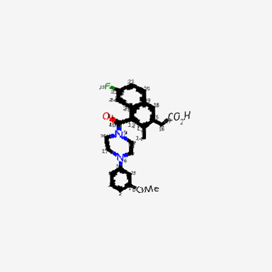 COc1cccc(N2CCN(C(=O)c3c(C)c(CC(=O)O)cc4ccc(F)cc34)CC2)c1